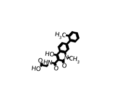 Cc1ccccc1-c1ccc2c(O)c(C(=O)NCC(=O)O)c(=O)n(C)c2c1